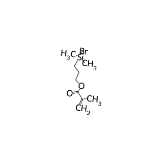 C=C(C)C(=O)OCCC[Si](C)(C)Br